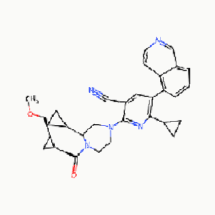 COC[C@@H]1C[C@@H]1C(=O)N1CCN(c2nc(C3CC3)c(-c3cccc4cnccc34)cc2C#N)CC1C1CC1